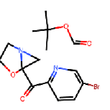 CC(C)(C)OC=O.O=C(c1ccc(Br)cn1)C12CN1CCO2